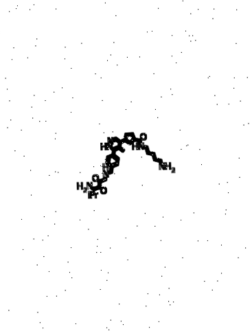 CC1=C(c2ccc(CNCC(=O)C(=O)[C@@H](N)C(C)C)cc2)NN=CC1C1CCC(C(=O)NCCCCCN)C1